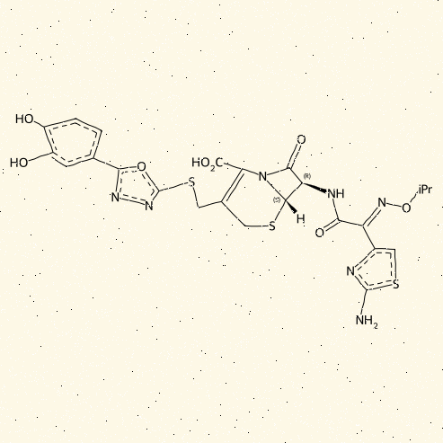 CC(C)ON=C(C(=O)N[C@@H]1C(=O)N2C(C(=O)O)=C(CSc3nnc(-c4ccc(O)c(O)c4)o3)CS[C@@H]12)c1csc(N)n1